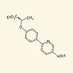 CCCCCCCCc1ccc(-c2ccc(O[C@H](C)C(=O)OCC)cc2)nc1